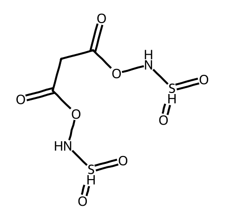 O=C(CC(=O)ON[SH](=O)=O)ON[SH](=O)=O